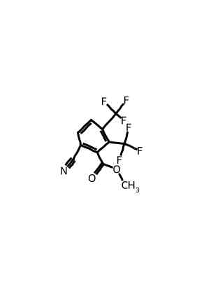 COC(=O)c1c(C#N)ccc(C(F)(F)F)c1C(F)(F)F